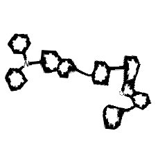 c1ccc(-c2cccc3c2oc2c(-c4ccc(-c5ccc6cc(N(c7ccccc7)c7ccccc7)ccc6c5)cc4)cccc23)cc1